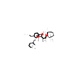 O=C(NCc1cccnc1)c1ccc(N2[C@@H]3CC[C@H]2C[C@@H](NC(=O)c2ccc(CO)cc2)C3)nc1